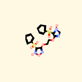 O=S(=O)(C1=[N+]([O-])CN=C1OCCOc1no[n+]([O-])c1S(=O)(=O)c1ccccc1)c1ccccc1